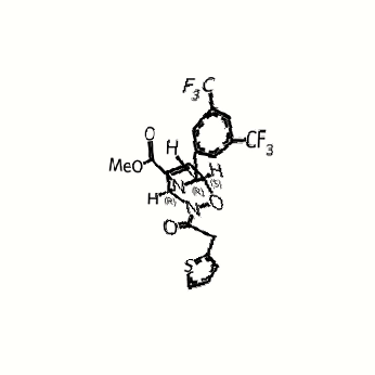 COC(=O)N1[C@H](c2cc(C(F)(F)F)cc(C(F)(F)F)c2)[C@@H]2C=C[C@H]1N(C(=O)Cc1cccs1)O2